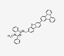 C=N/C(=N\C(=N/Cc1ccc2c(c1)SC1C=C(c3ccc4c(c3)-c3ccccc3C3C=CC=CC43)C=CC21)c1ccccc1)c1ccccc1